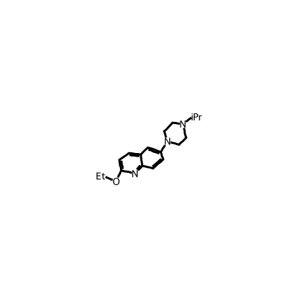 CCOc1ccc2cc(N3CCN(C(C)C)CC3)ccc2n1